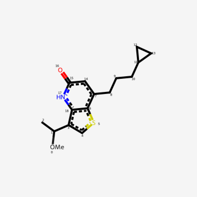 COC(C)c1csc2c(CCCC3CC3)cc(=O)[nH]c12